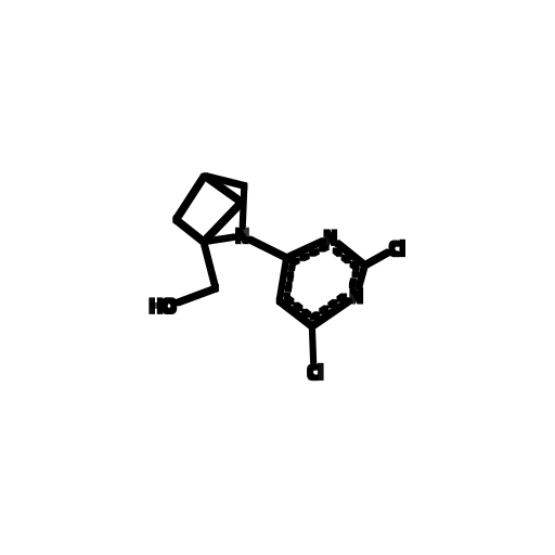 OCC12CC(CN1c1cc(Cl)nc(Cl)n1)C2